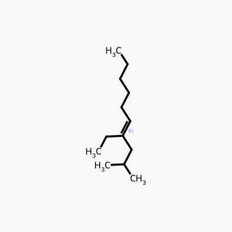 CCCCC/C=C(\CC)CC(C)C